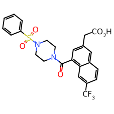 O=C(O)Cc1cc(C(=O)N2CCN(S(=O)(=O)c3ccccc3)CC2)c2cc(C(F)(F)F)ccc2c1